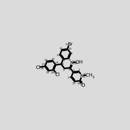 Cn1cc(C(CC(c2ccc(Br)cc2)c2ccc(Cl)cc2Cl)=NO)ccc1=O